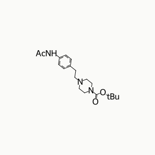 CC(=O)Nc1ccc(CCN2CCN(C(=O)OC(C)(C)C)CC2)cc1